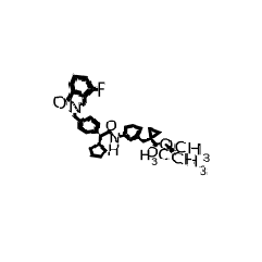 CC(C)(C)OC(=O)C1(Cc2cccc(NC(=O)[C@@H](c3ccc(CN4Cc5c(F)cccc5C4=O)cc3)C3CCCC3)c2)CC1